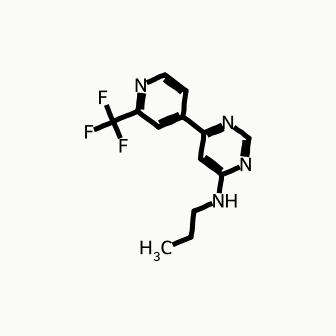 CCCNc1cc(-c2ccnc(C(F)(F)F)c2)ncn1